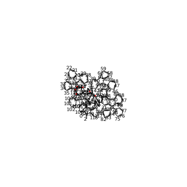 CC1(C)CC(C)(c2cccc(N(c3ccc4c(c3)C(c3ccccc3)(c3ccccc3)c3ccccc3-4)c3ccc4c(c3)C(c3ccccc3)(c3ccccc3)c3ccccc3-4)c2)c2c(N(c3ccc4c(c3)C(c3ccccc3)(c3ccccc3)c3ccccc3-4)c3ccc4c(c3)C(c3ccccc3)(c3ccccc3)c3ccccc3-4)cccc21